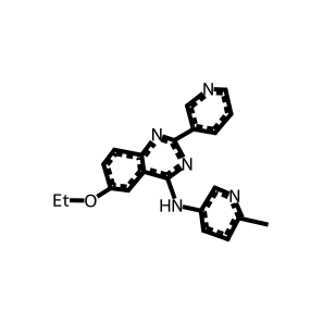 CCOc1ccc2nc(-c3cccnc3)nc(Nc3ccc(C)nc3)c2c1